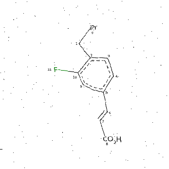 CC(C)Cc1ccc(/C=C/C(=O)O)cc1F